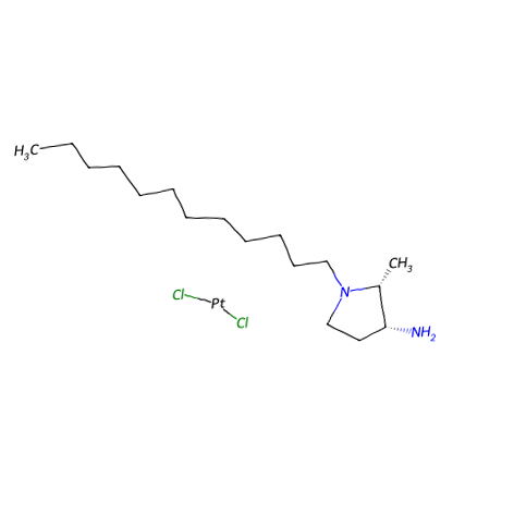 CCCCCCCCCCCCN1CC[C@@H](N)[C@H]1C.[Cl][Pt][Cl]